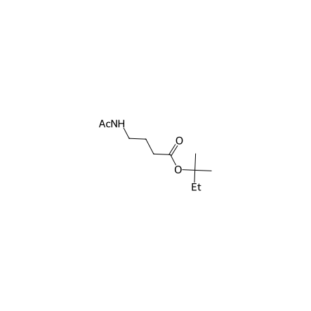 CCC(C)(C)OC(=O)CCCNC(C)=O